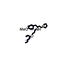 C#C/C=C(\C=C/COC)CC(CCN1CCCC1)NCCCO/C(C=C)=C/C=C/C